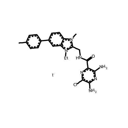 CCn1c(CNC(=O)c2nc(Cl)c(N)nc2N)[n+](C)c2ccc(-c3ccc(C)cc3)cc21.[I-]